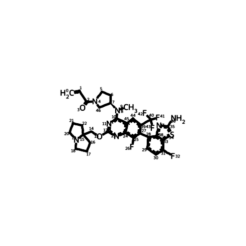 C=CC(=O)N1CC[C@@H](N(C)c2nc(OCC34CCCN3CCC4)nc3c(F)c(-c4ccc(F)c5sc(N)nc45)c(C(F)(F)F)cc23)C1